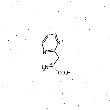 N[C@H](Cc1ncccn1)C(=O)O